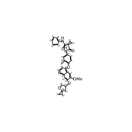 COc1cc2c(Oc3ccc(NC(=O)C4(C(=O)Nc5ccccc5)CC4)cc3F)ccnc2cc1OC1COC2(CC2)C1